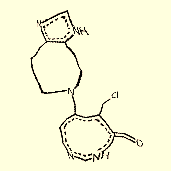 O=c1[nH]ncc(N2CCc3nc[nH]c3C2)c1Cl